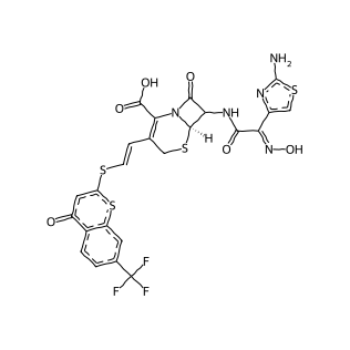 Nc1nc(/C(=N\O)C(=O)NC2C(=O)N3C(C(=O)O)=C(/C=C/Sc4cc(=O)c5ccc(C(F)(F)F)cc5s4)CS[C@H]23)cs1